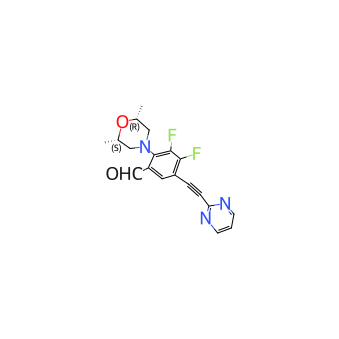 C[C@@H]1CN(c2c(C=O)cc(C#Cc3ncccn3)c(F)c2F)C[C@H](C)O1